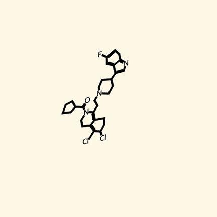 O=C(C1CCCC1)N1CCC2=C(Cl)C(Cl)CCC2=C1CCN1CCC(C2=CN=C3CC=C(F)C=C23)CC1